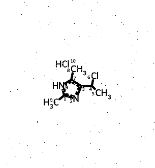 Cc1nc(C(C)Cl)c(C)[nH]1.Cl